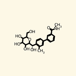 CNC(=O)c1cccc(-c2ccc([C@H](O)C3OC(CO)C(O)C(O)C3O)c(C)c2)c1